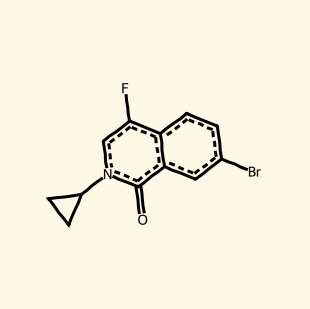 O=c1c2cc(Br)ccc2c(F)cn1C1CC1